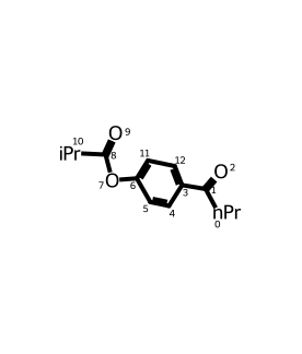 CCCC(=O)c1ccc(OC(=O)C(C)C)cc1